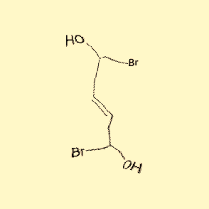 OC(Br)C=CC(O)Br